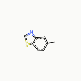 [CH2]c1ccc2scnc2c1